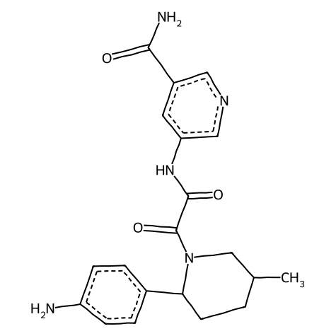 CC1CCC(c2ccc(N)cc2)N(C(=O)C(=O)Nc2cncc(C(N)=O)c2)C1